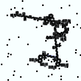 CC[N+]1=C(/C=C/C=C/C=C2/N(CCCCCC(=O)NCCCC[C@H](NC(C)=O)C(=O)N[C@H]3CSSC[C@@H](C(=O)N[C@@H](Cc4ccccc4)C(=O)N[C@@H](CS)C(=O)NCCOCCOCCOCCNC(=O)COCC(N)=O)NC(=O)[C@H](CC(=O)O)NC(=O)CNC(=O)[C@H](CCCN)NC3=O)c3ccc4c(S(=O)(=O)O)cc(S(=O)(=O)O)cc4c3C2(C)C)C(C)(C)c2c1ccc1c(S(=O)(=O)O)cc(S(=O)(=O)O)cc21